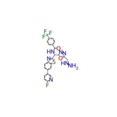 NNCc1nnc(C(NC(=O)c2ccc(C(F)(F)F)cc2)c2nc3ccc(-c4ccc(F)nc4)cc3s2)o1